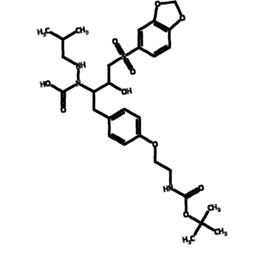 CC(C)CNN(C(=O)O)C(Cc1ccc(OCCNC(=O)OC(C)(C)C)cc1)C(O)CS(=O)(=O)c1ccc2c(c1)OCO2